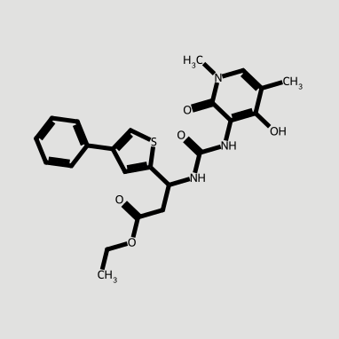 CCOC(=O)CC(NC(=O)Nc1c(O)c(C)cn(C)c1=O)c1cc(-c2ccccc2)cs1